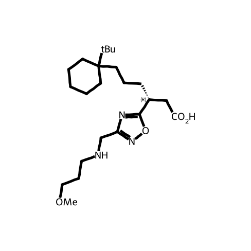 COCCCNCc1noc([C@H](CCCC2(C(C)(C)C)CCCCC2)CC(=O)O)n1